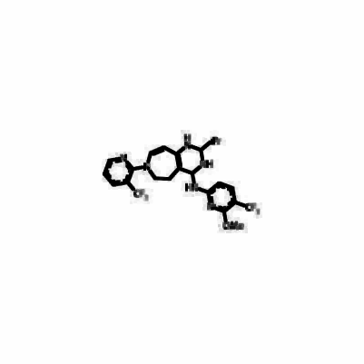 COc1nc(NC2NC(C(C)C)NC3=C2CCN(c2ncccc2C(F)(F)F)C=C3)ccc1C(F)(F)F